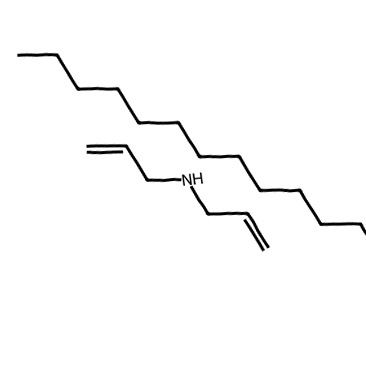 C=CCNCC=C.CCCCCCCCCCCCBr